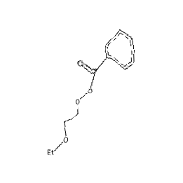 CCOCCOOC(=O)c1ccccc1